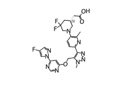 Cc1nc(-c2nnn(C)c2COc2cc(-n3cc(F)cn3)ncn2)ccc1N1C[C@@H](CC(=O)O)CC(F)(F)C1